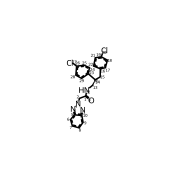 O=C(Cn1nc2ccccc2n1)NC[C@H](Cc1ccc(Cl)cc1)c1ccc(Cl)cc1